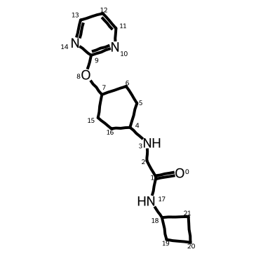 O=C(CNC1CCC(Oc2ncccn2)CC1)NC1CCC1